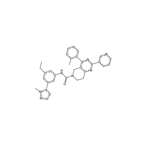 CCc1cc(NC(=O)N2CCc3nc(-c4cccnc4)nc(-c4ccccc4C)c3C2)cc(-c2ccnn2C)c1